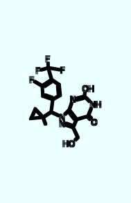 CC1(C(c2ccc(C(F)(F)F)c(F)c2)n2nc(CO)c3c(=O)[nH]c(O)nc32)CC1